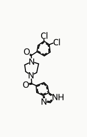 O=C(c1ccc(Cl)c(Cl)c1)N1CCN(C(=O)c2ccc3[nH]cnc3c2)CC1